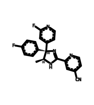 C[C@@H]1NC(c2cc(C#N)ccn2)=N[C@]1(c1ccc(F)cc1)c1ccnc(F)c1